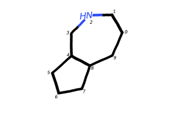 C1CNCC2CCCC2C1